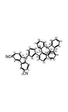 N#Cc1ccc2c(c1)c1cc(C#N)ccc1n2-c1cccc(-c2cccc(C#N)c2-c2ccccc2-n2c3ccccc3c3ccccc32)c1